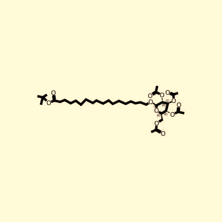 CC(=O)OC[C@H]1O[C@@H](OCCCCCCCCCCCCCCCCCC(=O)OC(C)(C)C)[C@H](OC(C)=O)[C@@H](OC(C)=O)[C@@H]1OC(C)=O